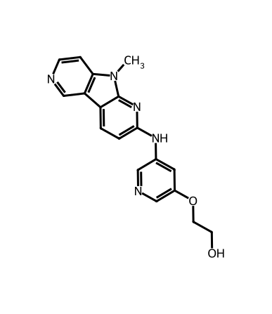 Cn1c2ccncc2c2ccc(Nc3cncc(OCCO)c3)nc21